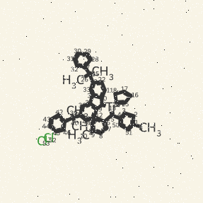 Cc1ccc([C](c2ccc(C)cc2)=[Ti+2]([C]2=CC=CC2)[CH]2c3ccc(C(C)(C)c4ccccc4)cc3-c3cc(C(C)(C)c4ccccc4)ccc32)cc1.[Cl-].[Cl-]